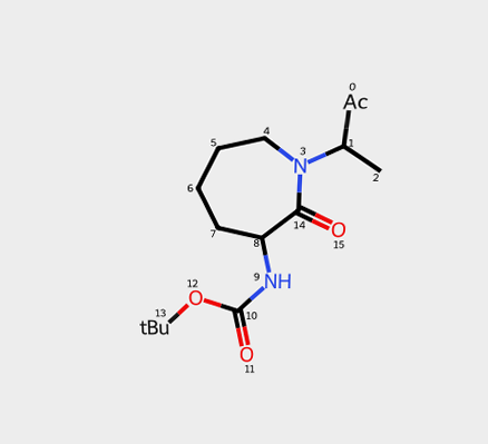 CC(=O)C(C)N1CCCCC(NC(=O)OC(C)(C)C)C1=O